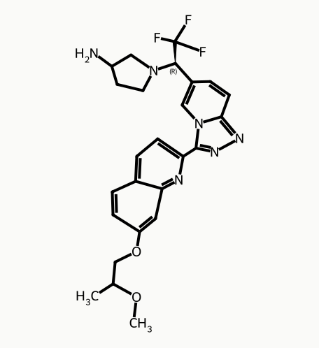 COC(C)COc1ccc2ccc(-c3nnc4ccc([C@@H](N5CCC(N)C5)C(F)(F)F)cn34)nc2c1